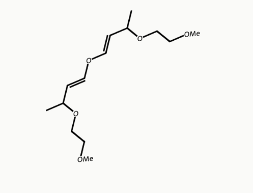 COCCOC(C)/C=C/O/C=C/C(C)OCCOC